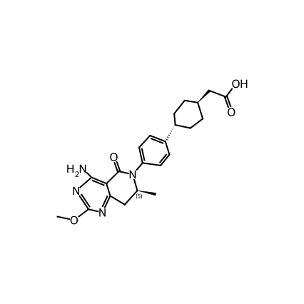 COc1nc(N)c2c(n1)C[C@H](C)N(c1ccc([C@H]3CC[C@H](CC(=O)O)CC3)cc1)C2=O